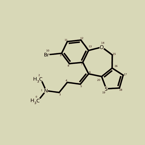 CN(C)CCC=C1c2cc(Br)ccc2OCc2ccsc21